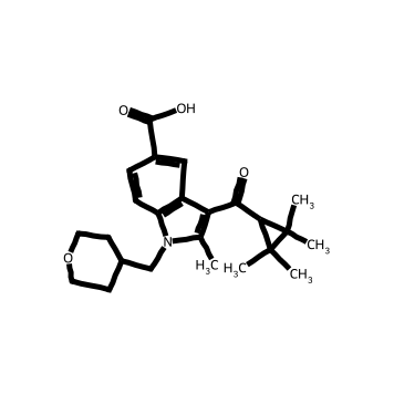 Cc1c(C(=O)C2C(C)(C)C2(C)C)c2cc(C(=O)O)ccc2n1CC1CCOCC1